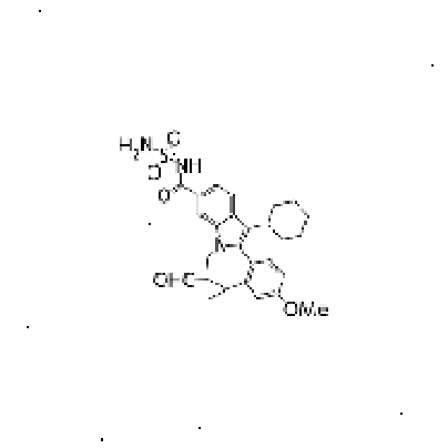 COc1ccc2c(c1)C1CC1(C=O)Cn1c-2c(C2CCCCC2)c2ccc(C(=O)NS(N)(=O)=O)cc21